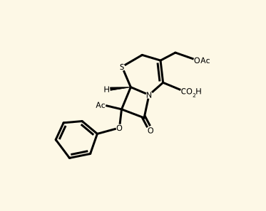 CC(=O)OCC1=C(C(=O)O)N2C(=O)C(Oc3ccccc3)(C(C)=O)[C@@H]2SC1